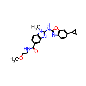 COCCNC(=O)c1ccc2c(c1)nc(Nc1nc3ccc(C4CC4)cc3o1)n2C